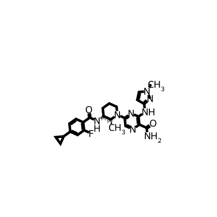 C[C@@H]1[C@H](NC(=O)c2ccc(C3CC3)cc2F)CCCN1c1cnc(C(N)=O)c(Nc2ccn(C)n2)n1